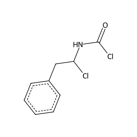 O=C(Cl)NC(Cl)Cc1ccccc1